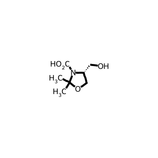 CC1(C)OC[C@@H](CO)N1C(=O)O